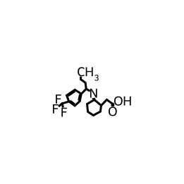 CCCC(N=C1CCCCC1CC(=O)O)c1ccc(C(F)(F)F)cc1